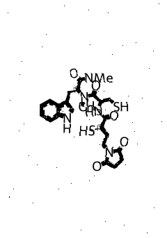 CNC(=O)[C@H](Cc1c[nH]c2ccccc12)N(C)C(=O)C(CS)NC(=O)[C@@H](S)CCN1C(=O)CCC1=O